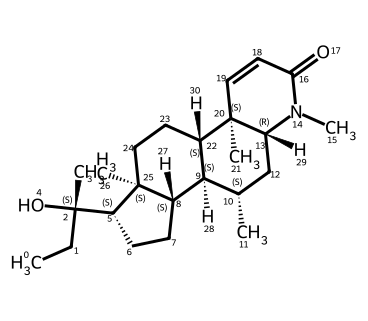 CC[C@](C)(O)[C@H]1CC[C@H]2[C@@H]3[C@@H](C)C[C@H]4N(C)C(=O)C=C[C@]4(C)[C@H]3CC[C@@]21C